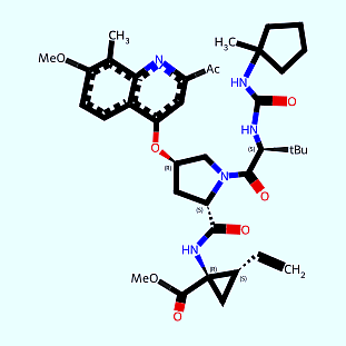 C=C[C@@H]1C[C@]1(NC(=O)[C@@H]1C[C@@H](Oc2cc(C(C)=O)nc3c(C)c(OC)ccc23)CN1C(=O)[C@@H](NC(=O)NC1(C)CCCC1)C(C)(C)C)C(=O)OC